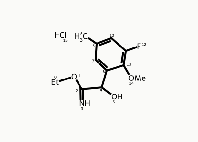 CCOC(=N)C(O)c1cc(C)cc(F)c1OC.Cl